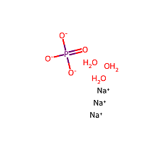 O.O.O.O=P([O-])([O-])[O-].[Na+].[Na+].[Na+]